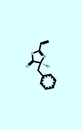 C=CC1=N[C@@](CC)(Cc2ccccc2)C(=O)O1